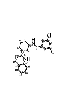 Clc1cc(Cl)cc(CN[C@H]2CCCN(C3=NCc4ccccc4N3)C2)c1